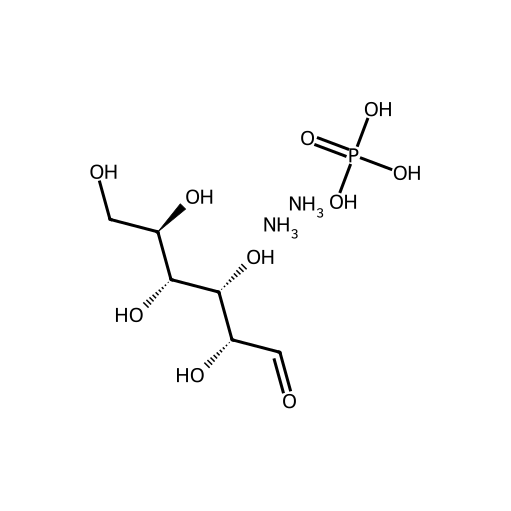 N.N.O=C[C@H](O)[C@@H](O)[C@H](O)[C@H](O)CO.O=P(O)(O)O